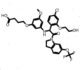 COc1cc(NC(C(=O)N2CCc3ccc(OC(F)(F)F)cc32)c2ccc(Cl)cc2OCCO)cc(OCCCC(=O)O)c1